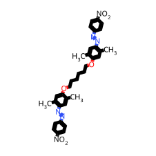 Cc1cc(OCCCCCCOc2cc(C)c(N=Nc3ccc([N+](=O)[O-])cc3)cc2C)c(C)cc1N=Nc1ccc([N+](=O)[O-])cc1